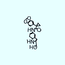 O=C(NC1=CCC2NC(CO)=CC2=C1)C1(c2ccc3c(c2)OCO3)CC1